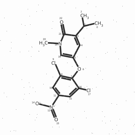 CC(C)c1cc(Oc2c(Cl)cc([N+](=O)[O-])cc2Cl)cn(C)c1=O